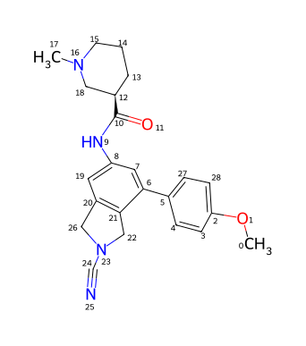 COc1ccc(-c2cc(NC(=O)[C@@H]3CCCN(C)C3)cc3c2CN(C#N)C3)cc1